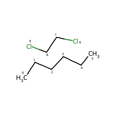 CCCCCC.ClCCCl